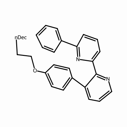 CCCCCCCCCCCCOc1ccc(-c2cccnc2-c2cccc(-c3ccccc3)n2)cc1